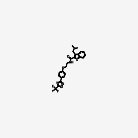 CN(C)Cc1c(C(=O)NCCOc2ccc(-c3noc(C(F)(F)F)n3)cc2)oc2ccccc12